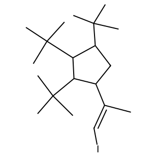 C/C(=C\I)C1CC(C(C)(C)C)C(C(C)(C)C)C1C(C)(C)C